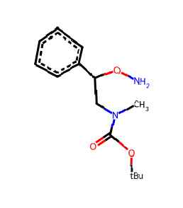 CN(CC(ON)c1ccccc1)C(=O)OC(C)(C)C